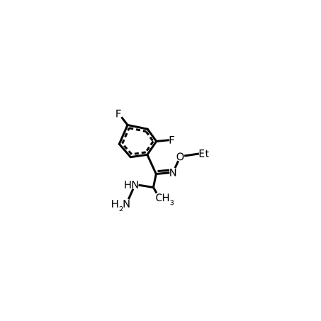 CCO/N=C(\c1ccc(F)cc1F)C(C)NN